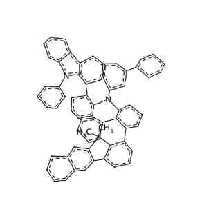 CC1(C)c2cc3ccccc3cc2-c2cccc(-c3cccc(N(c4cccc(-c5ccccc5)c4)c4ccccc4-c4cccc5c6ccccc6n(-c6ccccc6)c45)c3-c3ccccc3)c21